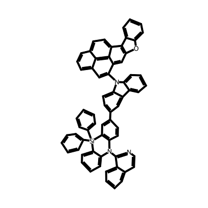 c1ccc([Si]2(c3ccccc3)c3ccccc3N(c3nccc4ccccc34)c3ccc(-c4ccc5c(c4)c4ccccc4n5-c4cc5cccc6ccc7c8c(cc4c7c65)oc4ccccc48)cc32)cc1